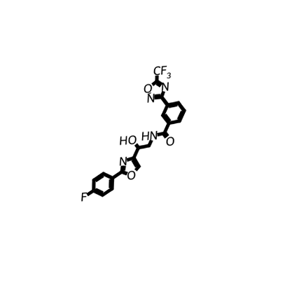 O=C(NCC(O)c1coc(-c2ccc(F)cc2)n1)c1cccc(-c2noc(C(F)(F)F)n2)c1